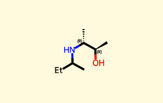 CCC(C)N[C@H](C)[C@@H](C)O